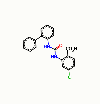 O=C(Nc1cc(Cl)ccc1C(=O)O)Nc1ccccc1-c1ccccc1